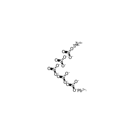 O=[Si]([O-])[O-].O=[Si]([O-])[O-].O=[Si]([O-])[O-].O=[Si]([O-])[O-].O=[Si]([O-])[O-].[Pb+2].[Ti+4].[Zr+4]